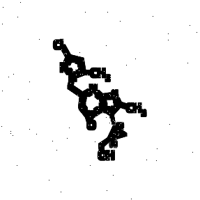 Cc1sc2nc(Cn3nc(Cl)cc3C)cc(=O)n2c1[C@@H]1C[C@H]1CO